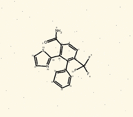 NC(=O)c1ccc(C(F)(F)F)c(-c2ccccc2)c1-c1nccs1